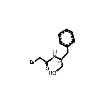 O=C(CBr)N[C@H](CO)Cc1ccccc1